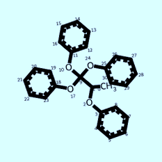 CC(Oc1ccccc1)C(Oc1ccccc1)(Oc1ccccc1)Oc1ccccc1